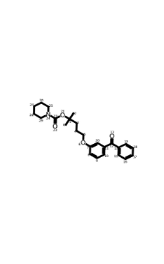 CC(C)(CCCOc1cccc(C(=O)c2ccccc2)c1)OC(=O)N1CCCCC1